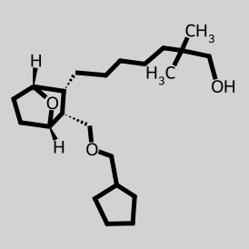 CC(C)(CO)CCCCC[C@@H]1[C@H](COCC2CCCC2)[C@@H]2CC[C@H]1O2